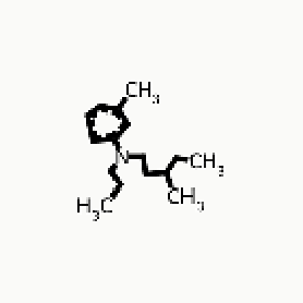 CCCN(CCC(C)CC)c1cccc(C)c1